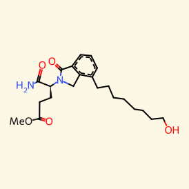 COC(=O)CC[C@@H](C(N)=O)N1Cc2c(CCCCCCCCO)cccc2C1=O